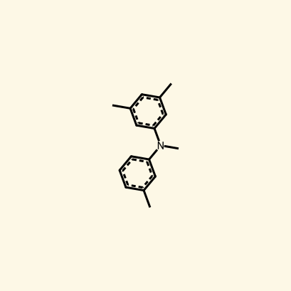 Cc1cccc(N(C)c2cc(C)cc(C)c2)c1